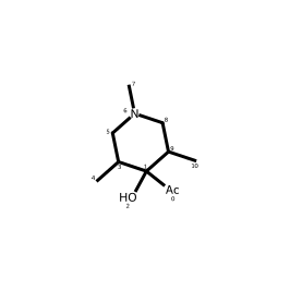 CC(=O)C1(O)C(C)CN(C)CC1C